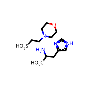 NC(Cc1c[nH]cn1)C(=O)O.O=S(=O)(O)CCN1CCOCC1